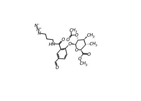 COC(=O)[C@H]1O[C@@H](Oc2ccc(C=O)cc2C(=O)NCCCN=[N+]=[N-])[C@H](OC(C)=O)[C@@H](C)[C@@H]1C